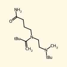 C=C(N(CCCC(N)=O)CCN(C)C(C)(C)C)C(C)(C)C